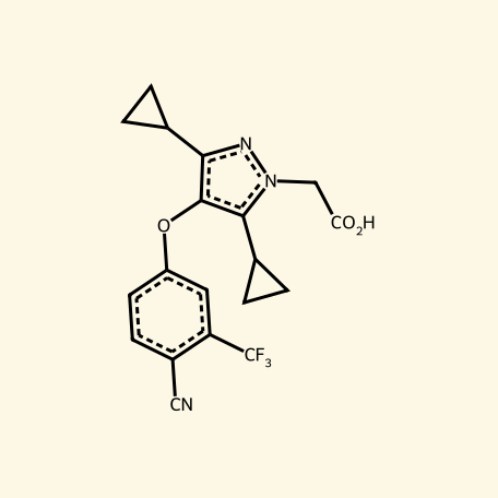 N#Cc1ccc(Oc2c(C3CC3)nn(CC(=O)O)c2C2CC2)cc1C(F)(F)F